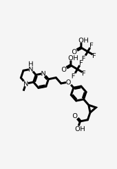 CN1CCNc2nc(CCOc3ccc(C4CC4CC(=O)O)cc3)ccc21.O=C(O)C(F)(F)F.O=C(O)C(F)(F)F